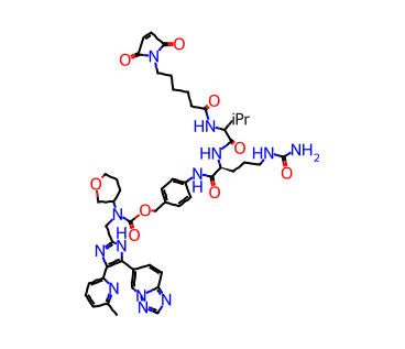 Cc1cccc(-c2nc(CN(C(=O)OCc3ccc(NC(=O)[C@H](CCCNC(N)=O)NC(=O)C(NC(=O)CCCCCN4C(=O)C=CC4=O)C(C)C)cc3)C3CCCOC3)[nH]c2-c2ccc3ncnn3c2)n1